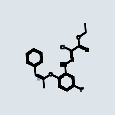 CCOC(=O)C(Cl)=NNc1cc(F)ccc1O/C(C)=C\c1ccccc1